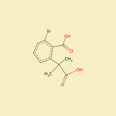 CC(C)(C(=O)O)c1cccc(Br)c1C(=O)O